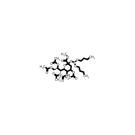 CCCCOP(OCCCC)OC1(C(=O)OC)CC(OC(C)=O)C(NC(C)=O)[C@H]([C@H](OC(C)=O)[C@@H](COC(C)=O)OC(C)=O)O1